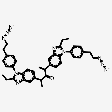 CCc1nc2cc(C(C)C(=O)C(C)c3ccc4c(c3)nc(CC)n4-c3ccc(CCN=[N+]=[N-])cc3)ccc2n1-c1ccc(CCN=[N+]=[N-])cc1